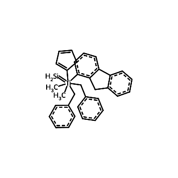 [CH3][Ti]([CH3])(=[SiH2])([CH2]c1ccccc1)([CH2]c1ccccc1)([C]1=CC=CC1)[c]1cccc2c1Cc1ccccc1-2